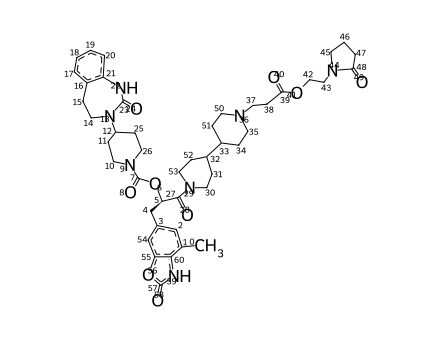 Cc1cc(C[C@@H](OC(=O)N2CCC(N3CCc4ccccc4NC3=O)CC2)C(=O)N2CCC(C3CCN(CCC(=O)OCCN4CCCC4=O)CC3)CC2)cc2oc(=O)[nH]c12